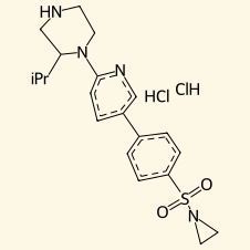 CC(C)C1CNCCN1c1ccc(-c2ccc(S(=O)(=O)N3CC3)cc2)cn1.Cl.Cl